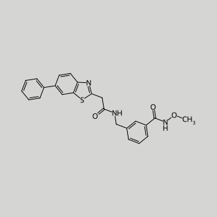 CONC(=O)c1cccc(CNC(=O)Cc2nc3ccc(-c4ccccc4)cc3s2)c1